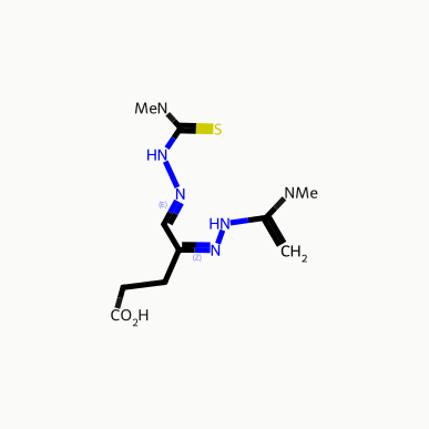 C=C(NC)N/N=C(\C=N\NC(=S)NC)CCC(=O)O